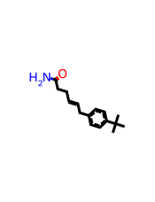 CC(C)(C)c1ccc(CC=CCCC(N)=O)cc1